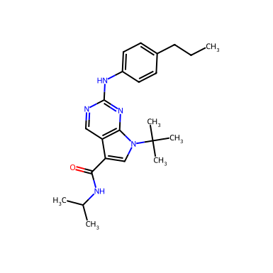 CCCc1ccc(Nc2ncc3c(C(=O)NC(C)C)cn(C(C)(C)C)c3n2)cc1